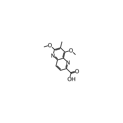 COc1nc2ccc(C(=O)O)nc2c(OC)c1C